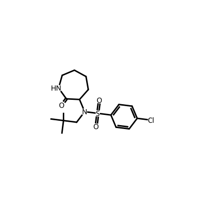 CC(C)(C)CN(C1CCCCNC1=O)S(=O)(=O)c1ccc(Cl)cc1